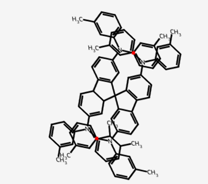 Cc1cccc(N(C2=CC3C(C=C2)c2ccc(N(c4cccc(C)c4)c4cccc(C)c4)cc2C32c3cc(N(c4cccc(C)c4)c4cccc(C)c4)ccc3-c3ccc(N(c4cccc(C)c4)c4cccc(C)c4)cc32)C2=CC=CC(C)C2C)c1